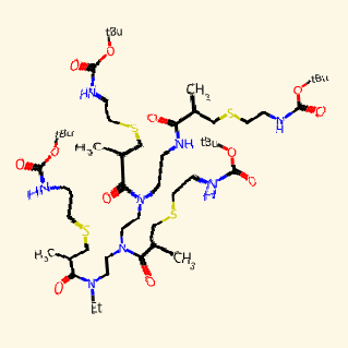 CCN(CCN(CCN(CCNC(=O)C(C)CSCCNC(=O)OC(C)(C)C)C(=O)C(C)CSCCNC(=O)OC(C)(C)C)C(=O)C(C)CSCCNC(=O)OC(C)(C)C)C(=O)C(C)CSCCNC(=O)OC(C)(C)C